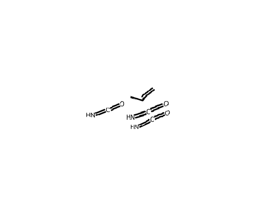 C=CC.N=C=O.N=C=O.N=C=O